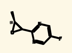 C[C@@H]1OC1c1ncc(F)cn1